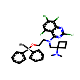 CN(C)C1(CN(CCO[Si](c2ccccc2)(c2ccccc2)C(C)(C)C)c2nc(Cl)nc3c(F)c(Br)cc(F)c23)CCC1